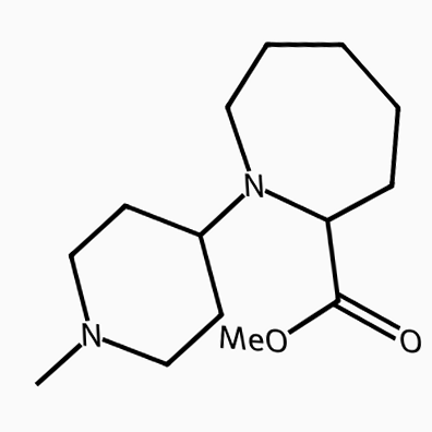 COC(=O)C1CCCCCN1C1CCN(C)CC1